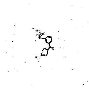 CCCCS(=O)(=O)Nc1cccc(C(=O)C2CCN(C)CC2)c1